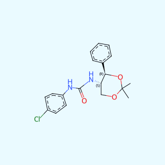 CC1(C)OC[C@H](NC(=O)Nc2ccc(Cl)cc2)[C@@H](c2ccccc2)O1